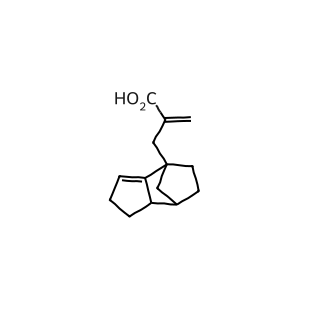 C=C(CC12CCC(C1)C1CCC=C12)C(=O)O